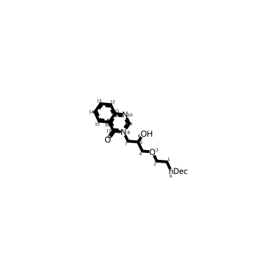 CCCCCCCCCCCCOCC(O)Cn1cnc2ccccc2c1=O